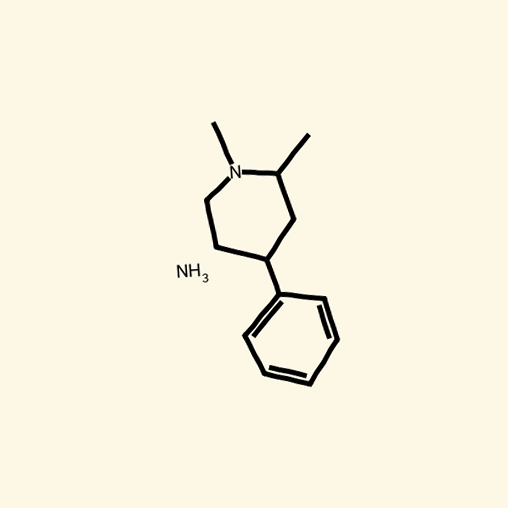 CC1CC(c2ccccc2)CCN1C.N